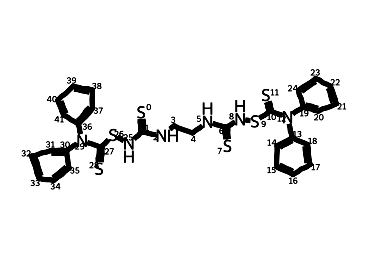 S=C(NCCNC(=S)NSC(=S)N(c1ccccc1)c1ccccc1)NSC(=S)N(c1ccccc1)c1ccccc1